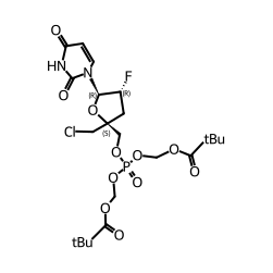 CC(C)(C)C(=O)OCOP(=O)(OCOC(=O)C(C)(C)C)OC[C@]1(CCl)C[C@@H](F)[C@H](n2ccc(=O)[nH]c2=O)O1